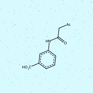 CC(=O)CC(=O)Nc1cccc(C(=O)O)c1